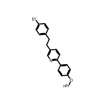 CCCOc1ccc(-c2ccc(CCc3ccc(CC)cc3)cn2)cc1